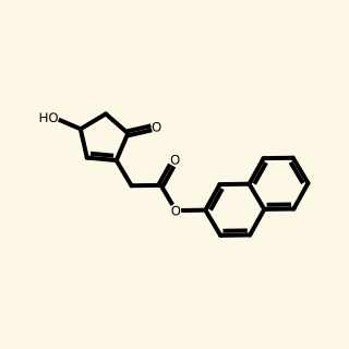 O=C(CC1=CC(O)CC1=O)Oc1ccc2ccccc2c1